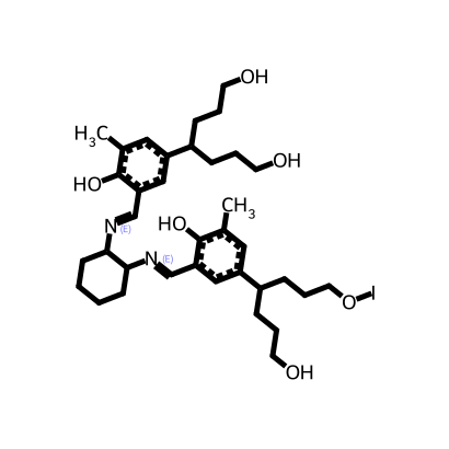 Cc1cc(C(CCCO)CCCO)cc(/C=N/C2CCCCC2/N=C/c2cc(C(CCCO)CCCOI)cc(C)c2O)c1O